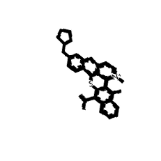 Cc1c2c(c(C(C)C)c3ccccc13)Sc1c3ccc(CC4CCCC4)cc3cc3cc[n+](C)c-2c13